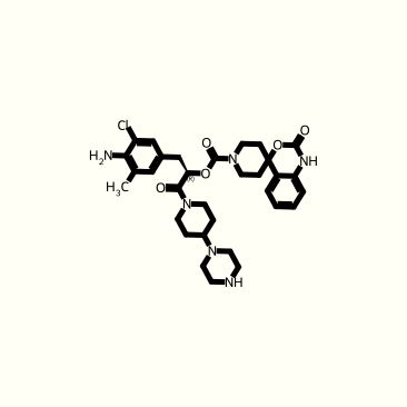 Cc1cc(C[C@@H](OC(=O)N2CCC3(CC2)OC(=O)Nc2ccccc23)C(=O)N2CCC(N3CCNCC3)CC2)cc(Cl)c1N